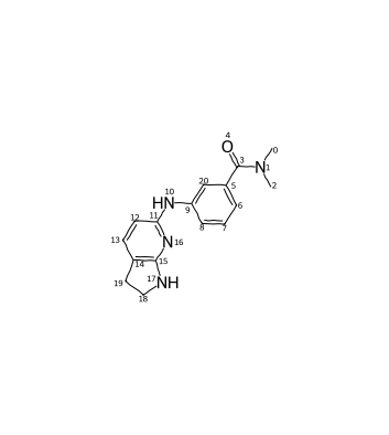 CN(C)C(=O)c1cccc(Nc2ccc3c(n2)NCC3)c1